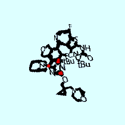 CC(C)(C)OC(=O)Nc1sc2c(F)cnc(-c3c4c(c5c(N6C7CCC6CN(C(=O)OC(C)(C)C)C7)nc(OCC6(CN7CCOCC7)CC6)nc5c3F)COC4)c2c1C#N